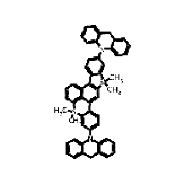 C[Si]1(C)c2cc(N3c4ccccc4Cc4ccccc43)ccc2-c2c1cc1c3c(cccc23)[Si](C)(C)c2cc(N3c4ccccc4Cc4ccccc43)ccc2-1